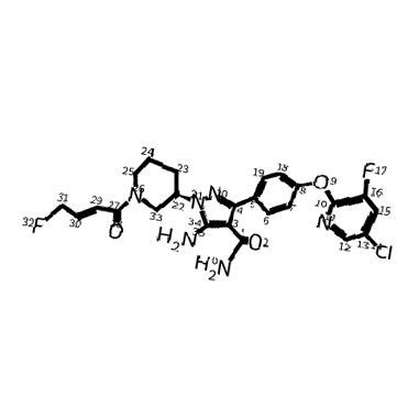 NC(=O)c1c(-c2ccc(Oc3ncc(Cl)cc3F)cc2)nn([C@@H]2CCCN(C(=O)/C=C/CF)C2)c1N